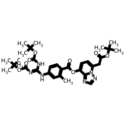 Cc1cc(N/C(=N/C(=O)OC(C)(C)C)NC(=O)OC(C)(C)C)ccc1C(=O)Oc1ccc(CC(=O)OC(C)(C)C)n2ncnc12